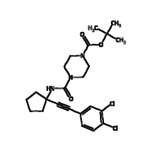 CC(C)(C)OC(=O)N1CCN(C(=O)NC2(C#Cc3ccc(Cl)c(Cl)c3)CCCC2)CC1